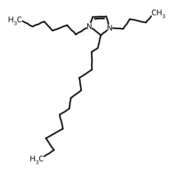 CCCCCCCCCCCCC1N(CCCC)C=CN1CCCCCC